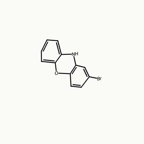 Brc1ccc2c(c1)Nc1ccccc1O2